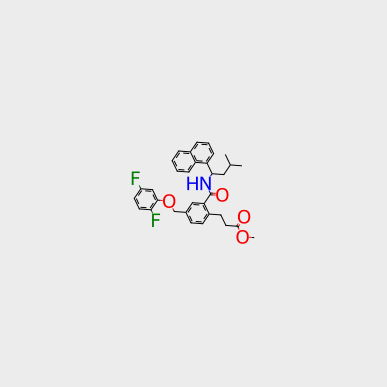 COC(=O)CCc1ccc(COc2cc(F)ccc2F)cc1C(=O)NC(CC(C)C)c1cccc2ccccc12